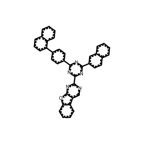 c1ccc2cc(-c3nc(-c4ccc(-c5cccc6ccccc56)cc4)nc(-c4ncc5c(n4)oc4ccccc45)n3)ccc2c1